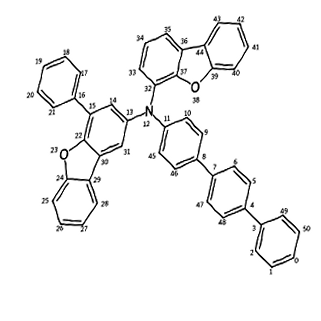 c1ccc(-c2ccc(-c3ccc(N(c4cc(-c5ccccc5)c5oc6ccccc6c5c4)c4cccc5c4oc4ccccc45)cc3)cc2)cc1